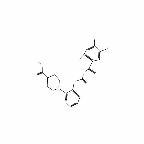 COC(=O)C1CCN(c2ncccc2NC(=O)NC(=O)c2cc(F)c(F)cc2Cl)CC1